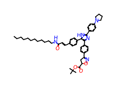 CCCCCCCCCCCCNC(=O)C=Cc1ccc(-c2[nH]c(-c3ccc(N4CCCC4)cc3)nc2-c2ccc(C3=NOC(C(=O)OC(C)(C)C)C3)cc2)cc1